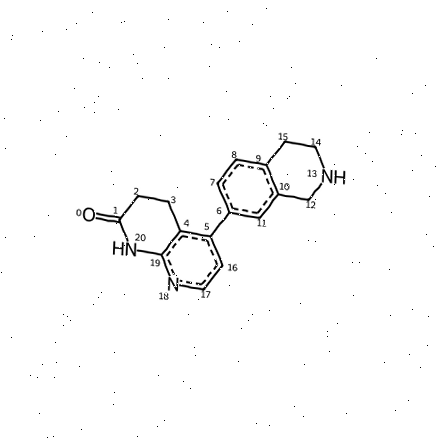 O=C1CCc2c(-c3ccc4c(c3)CNCC4)ccnc2N1